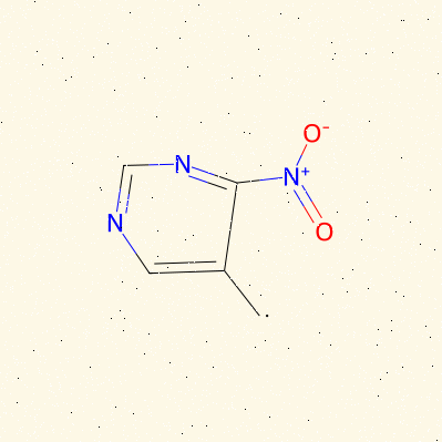 [CH2]c1cncnc1[N+](=O)[O-]